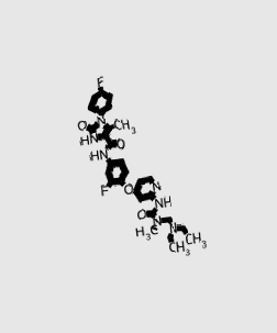 CCN(CC)CN(C)C(=O)Nc1cc(Oc2ccc(NC(=O)c3[nH]c(=O)n(-c4ccc(F)cc4)c3C)cc2F)ccn1